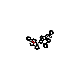 c1ccc(-c2ccccc2N(c2ccc3c(c2)-c2ccccc2-c2ccccc2C32c3ccccc3-c3cc4c(cc32)sc2ccccc24)c2ccc3c(c2)oc2ccccc23)cc1